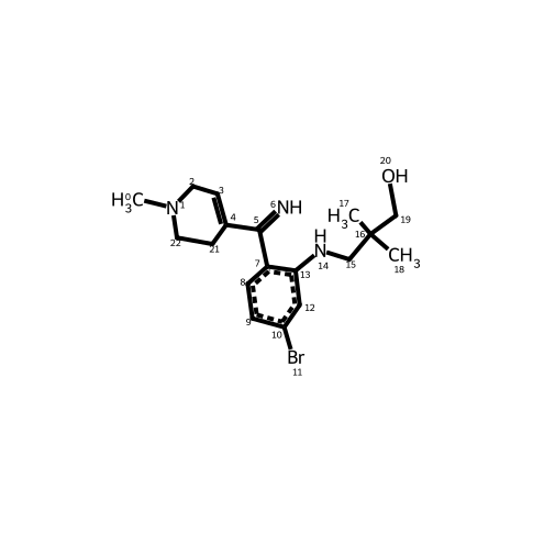 CN1CC=C(C(=N)c2ccc(Br)cc2NCC(C)(C)CO)CC1